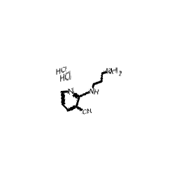 Cl.Cl.N#Cc1cccnc1NCCCN